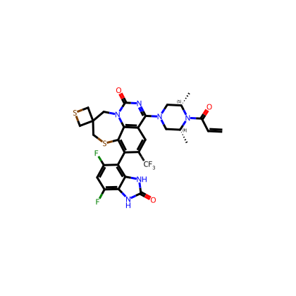 C=CC(=O)N1[C@H](C)CN(c2nc(=O)n3c4c(c(-c5c(F)cc(F)c6[nH]c(=O)[nH]c56)c(C(F)(F)F)cc24)SCC2(CSC2)C3)C[C@@H]1C